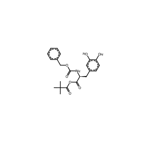 CC(C)(C)C(=O)OC(=O)[C@H](Cc1ccc(O)c(O)c1)NC(=O)OCc1ccccc1